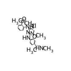 CNCC(C)c1ccc(Nc2ncc(Cl)c(Nc3ccccc3P(C)(C)=O)n2)c(OC)c1